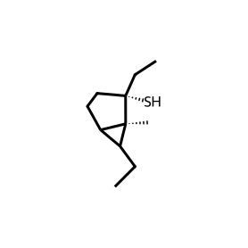 CCC1C2CC[C@@](S)(CC)[C@@]12C